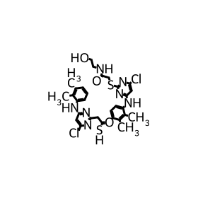 Cc1cccc(Nc2cc(Cl)nc(CC(=O)S)n2)c1C.Cc1cccc(Nc2cc(Cl)nc(SCC(=O)NCCO)n2)c1C